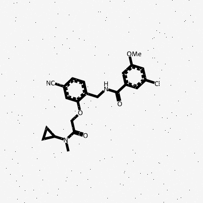 COc1cc(Cl)cc(C(=O)NCc2ccc(C#N)cc2OCC(=O)N(C)C2CC2)c1